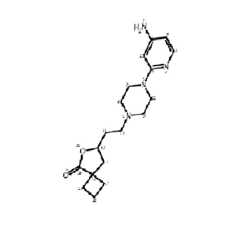 Nc1ccnc(N2CCN(CCC3CC4(CCC4)C(=O)O3)CC2)c1